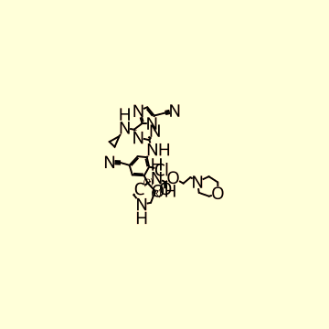 N#Cc1cc(Nc2nc(NC3CC3)c3ncc(C#N)n3n2)c(Cl)c([C@]2(NC(=O)OCCN3CCOCC3)CCNC[C@H]2O)c1